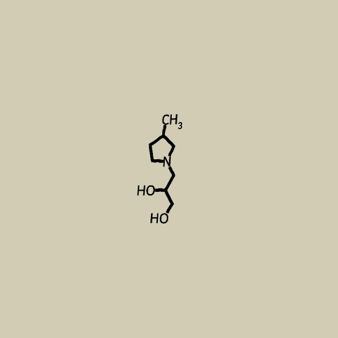 CC1CCN(CC(O)CO)C1